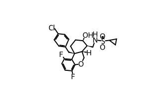 O=S(=O)(NC[C@@H]1[C@H](O)CC[C@@]2(Cc3ccc(Cl)cc3)c3c(F)ccc(F)c3OC[C@@H]12)C1CC1